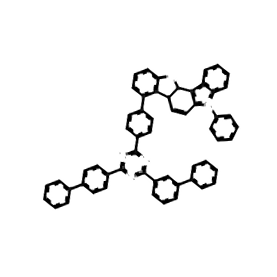 C1=CC2c3c(cccc3-c3ccc(-c4nc(-c5ccc(-c6ccccc6)cc5)nc(-c5cccc(-c6ccccc6)c5)n4)cc3)OC2c2c1n(-c1ccccc1)c1ccccc21